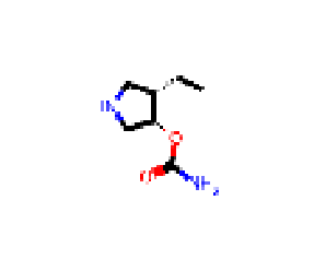 CC[C@H]1CNC[C@H]1OC(N)=O